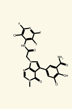 Cn1cnc2c(c(-c3cc(Cl)c(O)c(C(N)=O)c3)cn2CC(=O)Nc2c(F)c(F)nc(F)c2Cl)c1=O